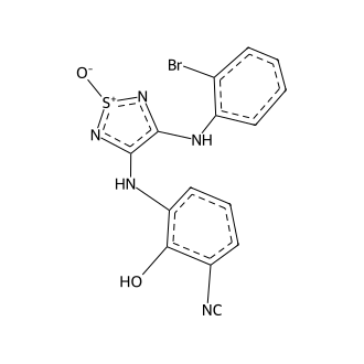 [C-]#[N+]c1cccc(Nc2n[s+]([O-])nc2Nc2ccccc2Br)c1O